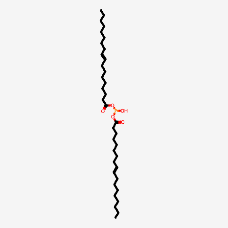 CCCCCCCCC=CCCCCCCCC(=O)OP(O)OC(=O)CCCCCCCC=CCCCCCCCC